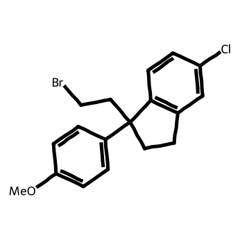 COc1ccc(C2(CCBr)CCc3cc(Cl)ccc32)cc1